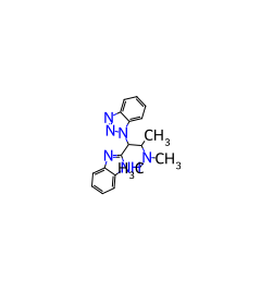 CC(C(c1nc2ccccc2[nH]1)n1nnc2ccccc21)N(C)C